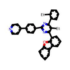 CCc1ccccc1-c1nc(-c2ccc(-c3ccncc3)cc2)nc(-c2cccc3c2oc2ccccc23)c1CC